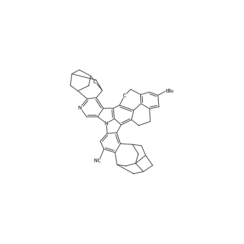 CC(C)(C)c1cc2c3c(c1)CCc1c-3c(c3c4c5c(ncc4n4c6cc(C#N)c7c(c6c1c34)C1CC3CC4CC7CC43C1)C1CC3CC(C1)CC5C3)CC2